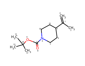 C=C(C)C1CCN(C(=O)OC(C)(C)C)CC1